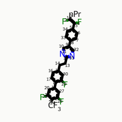 CCC/C(F)=C(\F)c1ccc(-c2cnc(CCc3ccc(-c4cc(F)c(C(F)(F)F)c(F)c4)c(F)c3)nc2)cc1